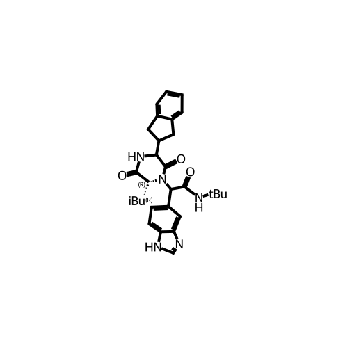 CC[C@@H](C)[C@@H]1C(=O)NC(C2Cc3ccccc3C2)C(=O)N1C(C(=O)NC(C)(C)C)c1ccc2[nH]cnc2c1